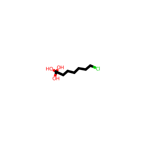 OC(O)(O)CCCCCCCl